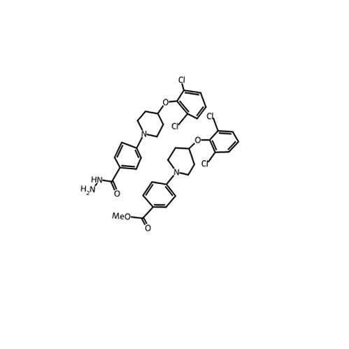 COC(=O)c1ccc(N2CCC(Oc3c(Cl)cccc3Cl)CC2)cc1.NNC(=O)c1ccc(N2CCC(Oc3c(Cl)cccc3Cl)CC2)cc1